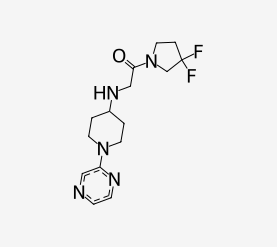 O=C(CNC1CCN(c2cnccn2)CC1)N1CCC(F)(F)C1